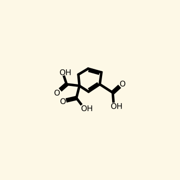 O=C(O)C1=CC(C(=O)O)(C(=O)O)CC=C1